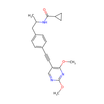 COc1ncc(C#Cc2ccc(CC(C)NC(=O)C3CC3)cc2)c(OC)n1